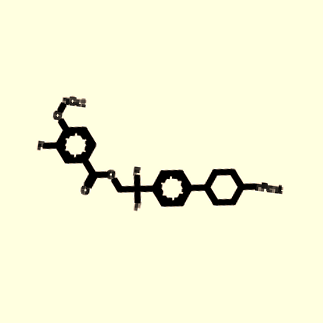 CCCCCCCCOc1ccc(C(=O)OCC(F)(F)c2ccc(C3CCC(CCCCC)CC3)cc2)cc1F